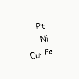 [Cu].[Fe].[Ni].[Pt]